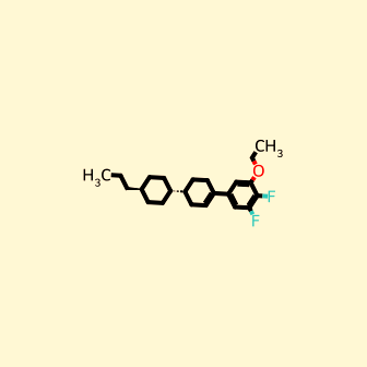 CCC[C@H]1CC[C@H](C2CC=C(c3cc(F)c(F)c(OCC)c3)CC2)CC1